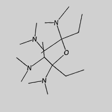 CCC(OC(CC)(C(C)N(C)C)N(C)C)(C(C)N(C)C)N(C)C